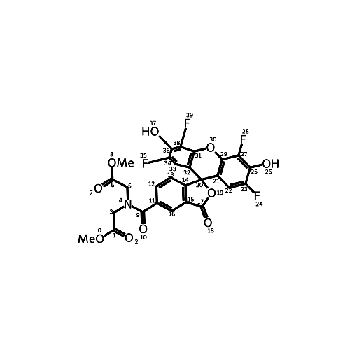 COC(=O)CN(CC(=O)OC)C(=O)c1ccc2c(c1)C(=O)OC21c2cc(F)c(O)c(F)c2Oc2c1cc(F)c(O)c2F